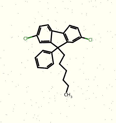 CCCCCCC1(c2ccccc2)c2cc(Cl)ccc2-c2ccc(Cl)cc21